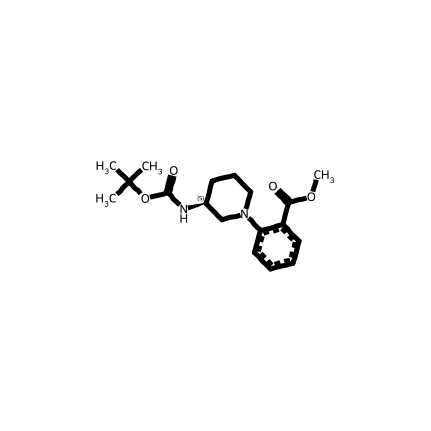 COC(=O)c1ccccc1N1CCC[C@H](NC(=O)OC(C)(C)C)C1